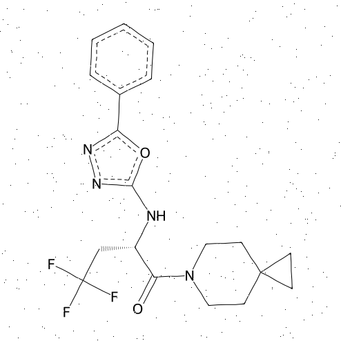 O=C([C@H](CC(F)(F)F)Nc1nnc(-c2ccccc2)o1)N1CCC2(CC1)CC2